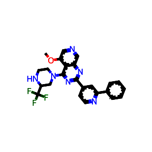 COc1cncc2nc(-c3ccnc(-c4[c]cccc4)c3)nc(N3CCNC(C(F)(F)F)C3)c12